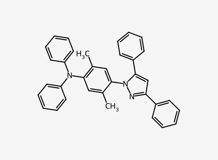 Cc1cc(-n2nc(-c3ccccc3)cc2-c2ccccc2)c(C)cc1N(c1ccccc1)c1ccccc1